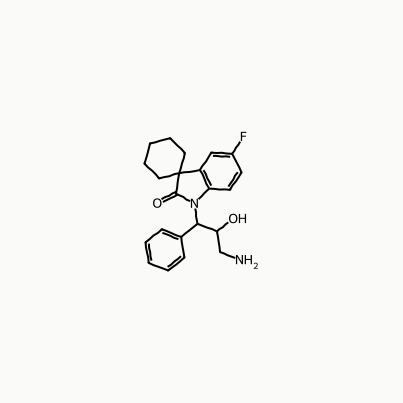 NCC(O)C(c1ccccc1)N1C(=O)C2(CCCCC2)c2cc(F)ccc21